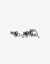 CCCN(c1nc(-c2nc(N)cc(N)n2)cs1)c1cc(-c2ccc(S(=O)(=O)N3CCN(C)CC3)cc2)ccc1C